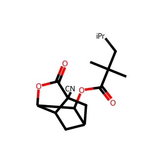 CC(C)CC(C)(C)C(=O)OC1C2CC3C1OC(=O)C3(C#N)C2